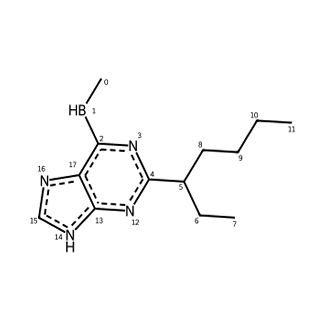 CBc1nc(C(CC)CCCC)nc2[nH]cnc12